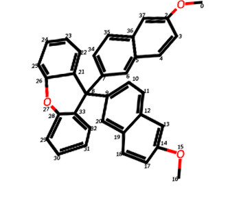 COc1ccc2cc(C3(c4ccc5cc(OC)ccc5c4)c4ccccc4Oc4ccccc43)ccc2c1